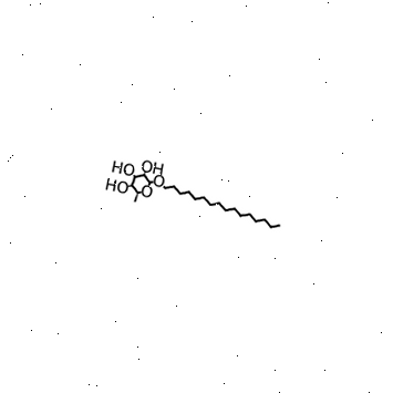 CCCCCCCCCCCCCCCCOC1O[C@@H](C)[C@@H](O)[C@@H](O)[C@@H]1O